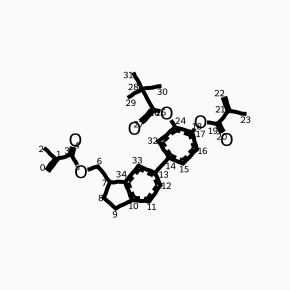 C=C(C)C(=O)OCC1CCc2ccc(-c3ccc(OC(=O)C(=C)C)c(OC(=O)C(C)(C)C)c3)cc21